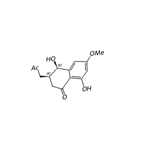 COc1cc(O)c2c(c1)[C@H](O)[C@H](CC(C)=O)CC2=O